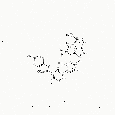 COc1cc(Cl)ccc1COc1nccc(-c2ccc(Cc3nc4ccc(C(=O)O)cc4n3CC3(CF)CC3)cc2F)n1